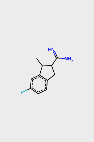 CC1c2cc(F)ccc2CC1C(=N)N